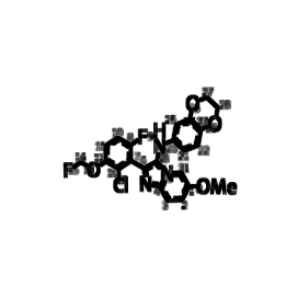 COc1ccc2nc(-c3c(F)ccc(OCF)c3Cl)c(Nc3ccc4c(c3)OCCO4)n2c1